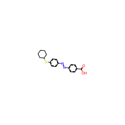 O=C(O)c1ccc(/N=N/c2ccc(SC3CCCCC3)cc2)cc1